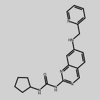 O=C(Nc1ncc2ccc(NCc3ccccn3)cc2n1)NC1CCCC1